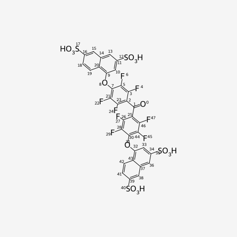 O=C(c1c(F)c(F)c(Oc2cc(S(=O)(=O)O)cc3cc(S(=O)(=O)O)ccc23)c(F)c1F)c1c(F)c(F)c(Oc2cc(S(=O)(=O)O)cc3cc(S(=O)(=O)O)ccc23)c(F)c1F